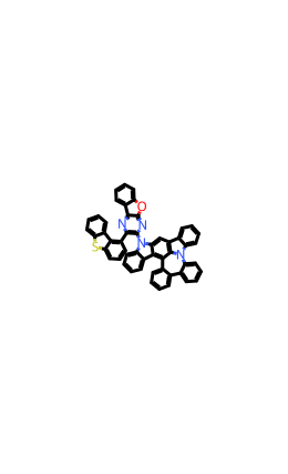 c1ccc2c(c1)-c1ccccc1-n1c3ccccc3c3cc4c(c-2c31)c1ccccc1n4-c1nc2oc3ccccc3c2nc1-c1cccc2sc3ccccc3c12